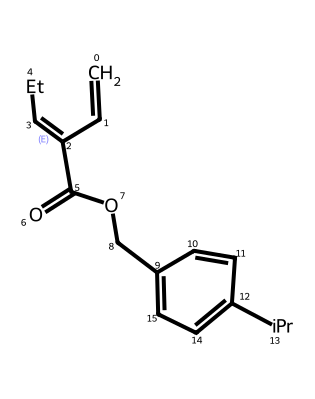 C=C/C(=C\CC)C(=O)OCc1ccc(C(C)C)cc1